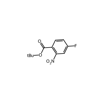 CC(C)(C)OC(=O)c1ccc(F)cc1[N+](=O)[O-]